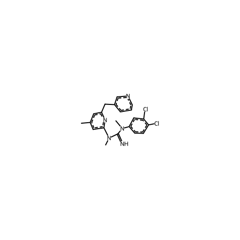 Cc1cc(Cc2cccnc2)nc(N(C)C(=N)N(C)c2ccc(Cl)c(Cl)c2)c1